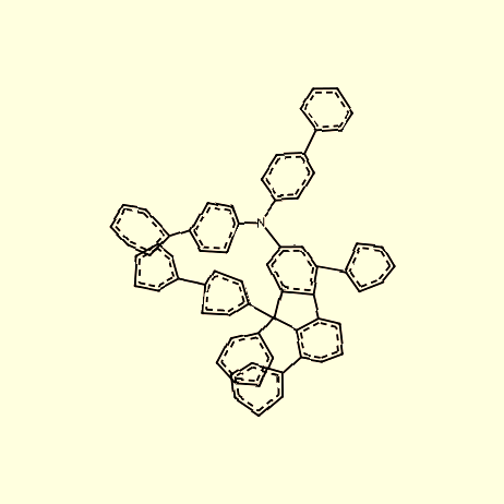 c1ccc(-c2ccc(N(c3ccc(-c4ccccc4)cc3)c3cc(-c4ccccc4)c4c(c3)C(c3ccccc3)(c3ccc(-c5ccccc5)cc3)c3c(-c5ccccc5)cccc3-4)cc2)cc1